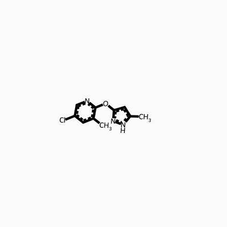 Cc1cc(Oc2ncc(Cl)cc2C)n[nH]1